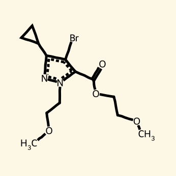 COCCOC(=O)c1c(Br)c(C2CC2)nn1CCOC